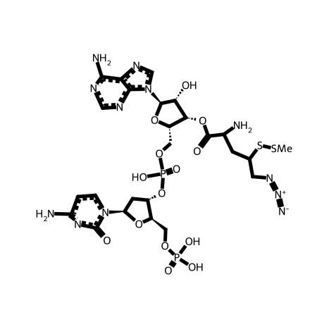 CSSC(CN=[N+]=[N-])CC(N)C(=O)O[C@H]1[C@@H](O)[C@H](n2cnc3c(N)ncnc32)O[C@H]1COP(=O)(O)O[C@H]1C[C@H](n2ccc(N)nc2=O)O[C@@H]1COP(=O)(O)O